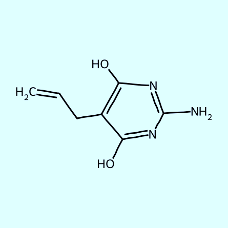 C=CCc1c(O)nc(N)nc1O